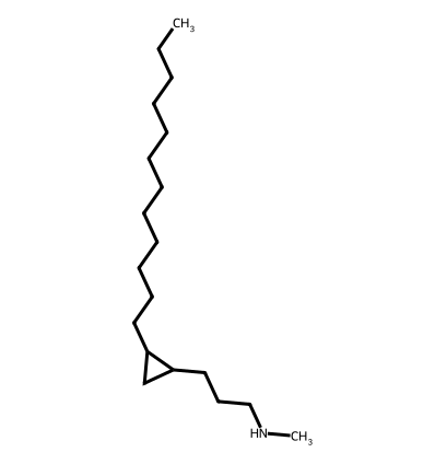 CCCCCCCCCCCCC1CC1CCCNC